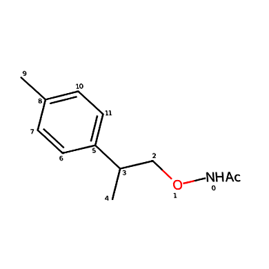 CC(=O)NOCC(C)c1ccc(C)cc1